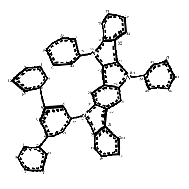 c1ccc(-c2cc(-c3ccccc3)cc(-n3c4ccccc4c4cc5c(cc43)c3c(c4ccccc4n3-c3ccccc3)n5-c3ccccc3)c2)cc1